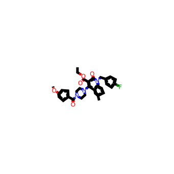 CCOC(=O)c1c(N2CCN(C(=O)c3ccc(OC)cc3)CC2)c2cc(C)ccc2n(Cc2ccc(F)cc2)c1=O